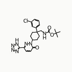 CC(C)(C)OC(=O)NCC1(c2cccc(Cl)c2)CCC(n2nc(-c3nnn[nH]3)ccc2=O)CC1